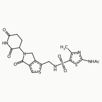 CC(=O)Nc1nc(C)c(S(=O)(=O)NCc2scc3c2CN(C2CCC(=O)NC2=O)C3=O)s1